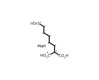 CCCCCCCCCCCCCC(C(=O)O)C(=O)O.[NaH]